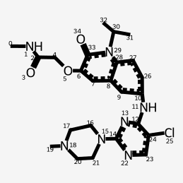 CNC(=O)COc1cc2cc(Nc3nc(N4CCN(C)CC4)ncc3Cl)ccc2n(C(C)C)c1=O